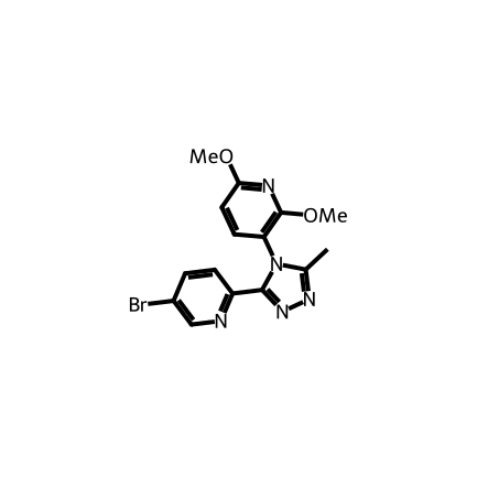 COc1ccc(-n2c(C)nnc2-c2ccc(Br)cn2)c(OC)n1